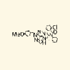 COc1ccc(CN2CN(C)C(=O)c3c(N[C@@H](C)c4cc5cccc(Cl)c5c(=O)n4-c4ccccc4)ncnc32)cc1